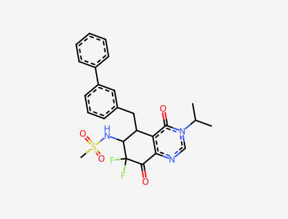 CC(C)n1cnc2c(c1=O)C(Cc1cccc(-c3ccccc3)c1)C(NS(C)(=O)=O)C(F)(F)C2=O